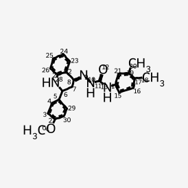 COc1ccc(C2CC(=NNC(=O)Nc3ccc(C)c(C)c3)c3ccccc3N2)cc1